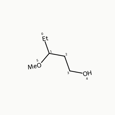 CCC(CCO)OC